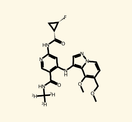 [2H]C([2H])([2H])NC(=O)c1cnc(NC(=O)[C@@H]2C[C@@H]2F)cc1Nc1cnn2ccc(COC)c(OC)c12